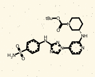 CC(C)(C)OC(=O)N1CCC[C@H](Nc2cc(-n3cnc(Nc4ccc(S(N)(=O)=O)cc4)n3)ccn2)C1